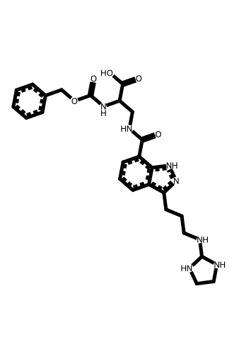 O=C(NC(CNC(=O)c1cccc2c(CCCNC3NCCN3)n[nH]c12)C(=O)O)OCc1ccccc1